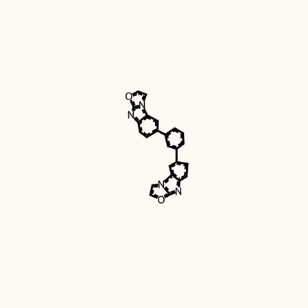 c1cc(-c2ccc3nc4occn4c3c2)cc(-c2ccc3nc4occn4c3c2)c1